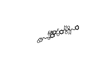 COc1c(OCCCN2CCOCC2)ccc2c(Oc3ccc(NC(=O)C(=O)NCCc4ccccc4)cc3F)ccnc12